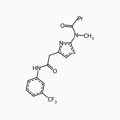 CC(C)C(=O)N(C)c1nc(CC(=O)Nc2cccc(C(F)(F)F)c2)cs1